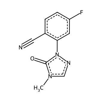 Cn1cnn(-c2cc(F)ccc2C#N)c1=O